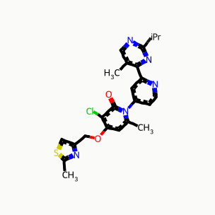 Cc1nc(COc2cc(C)n(-c3ccnc(-c4nc(C(C)C)ncc4C)c3)c(=O)c2Cl)cs1